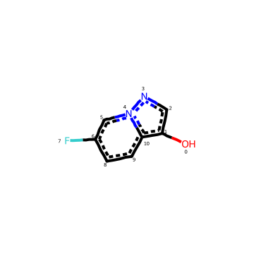 Oc1cnn2cc(F)ccc12